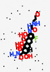 COCCCNCC(=O)Nc1cc(F)c2c(c1O)C(=O)C1=C(O)[C@]3(O)C(=O)C(C(N)=O)=C(O)C[C@@H]3CC1C2